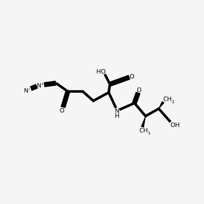 C[C@@H](O)[C@@H](C)C(=O)NC(CCC(=O)C=[N+]=[N-])C(=O)O